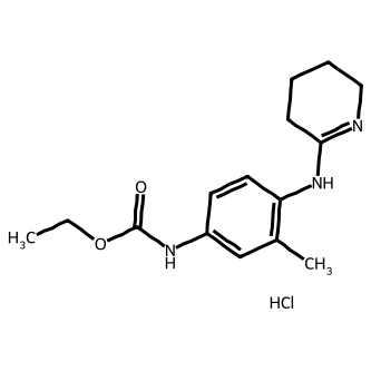 CCOC(=O)Nc1ccc(NC2=NCCCC2)c(C)c1.Cl